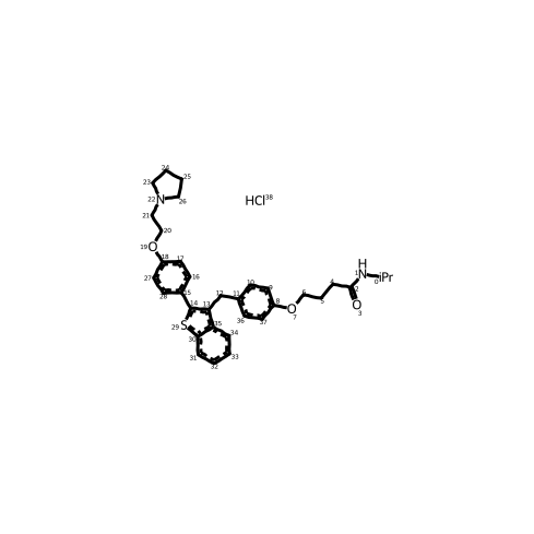 CC(C)NC(=O)CCCOc1ccc(Cc2c(-c3ccc(OCCN4CCCC4)cc3)sc3ccccc23)cc1.Cl